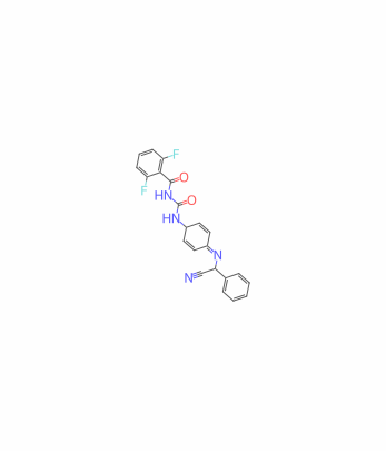 N#CC(N=C1C=CC(NC(=O)NC(=O)c2c(F)cccc2F)C=C1)c1ccccc1